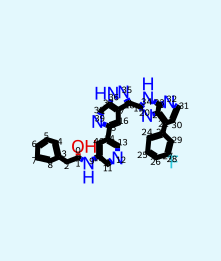 OC(Cc1ccccc1)Nc1cncc(-c2cc3c(-c4nc5c(-c6cccc(F)c6)ccnc5[nH]4)n[nH]c3cn2)c1